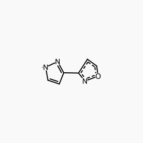 C1=CC(c2ccon2)=N[N]1